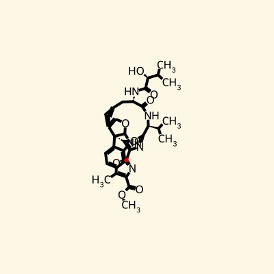 COC(=O)c1nc(-c2nc3oc2[C@@]24c5ccccc5NC2Oc2ccc(cc24)C[C@H](NC(=O)[C@@H](O)C(C)C)C(=O)N[C@H]3C(C)C)oc1C